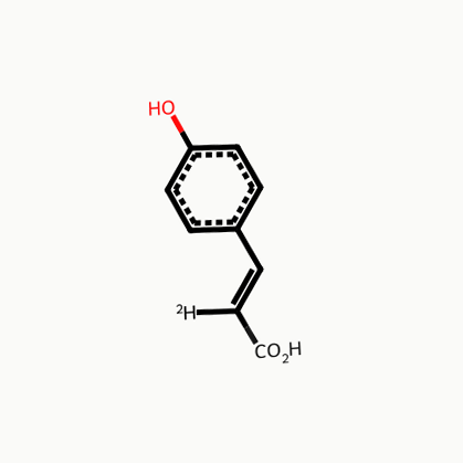 [2H]C(=Cc1ccc(O)cc1)C(=O)O